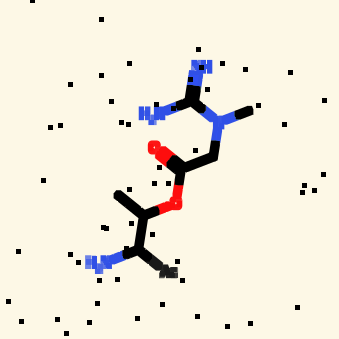 CC(=O)C(N)C(C)OC(=O)CN(C)C(=N)N